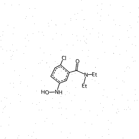 CCN(CC)C(=O)c1cc(NO)ccc1Cl